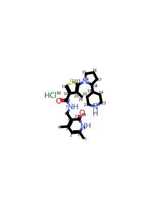 Cc1cc(C)c(CNC(=O)c2csc(N3CCCC3C3CCNCC3)c2C)c(=O)[nH]1.Cl